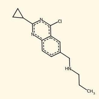 CCCNCc1ccc2nc(C3CC3)nc(Cl)c2c1